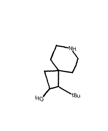 CC(C)(C)C1C(O)CC12CCNCC2